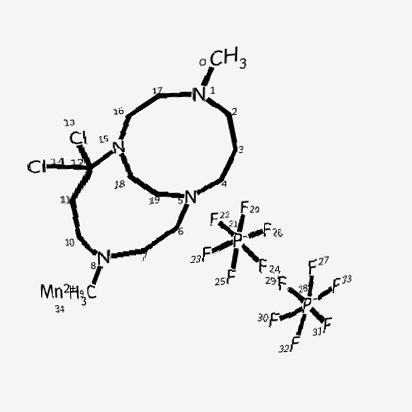 CN1CCCN2CCN(C)CCC(Cl)(Cl)N(CC1)CC2.F[P-](F)(F)(F)(F)F.F[P-](F)(F)(F)(F)F.[Mn+2]